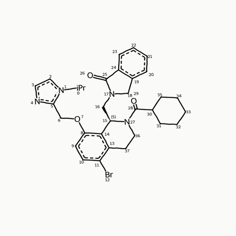 CC(C)n1ccnc1COc1ccc(Br)c2c1[C@@H](CN1Cc3ccccc3C1=O)N(C(=O)C1CCCCC1)CC2